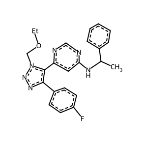 CCOCn1nnc(-c2ccc(F)cc2)c1-c1cc(NC(C)c2ccccc2)ncn1